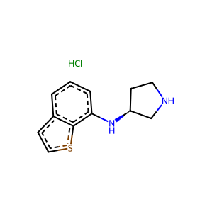 Cl.c1cc(N[C@H]2CCNC2)c2sccc2c1